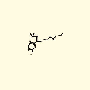 CCOC(=O)CCCNC1c2cc3nonc3cc2OC(C)(C)C1O